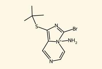 CC(C)(C)SC1=C2C=NC=C[N+]2(N)C(Br)=N1